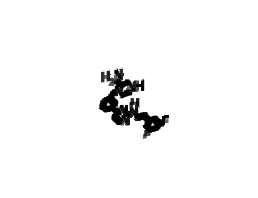 NCC1CNCCN1Cc1cccc(-c2ccnc(NCCc3cc(F)cc(F)c3)n2)c1